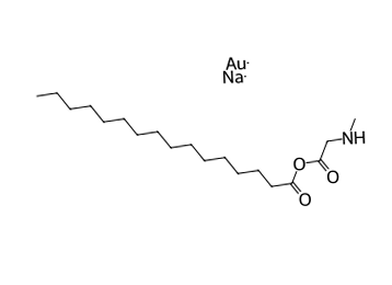 CCCCCCCCCCCCCCCC(=O)OC(=O)CNC.[Au].[Na]